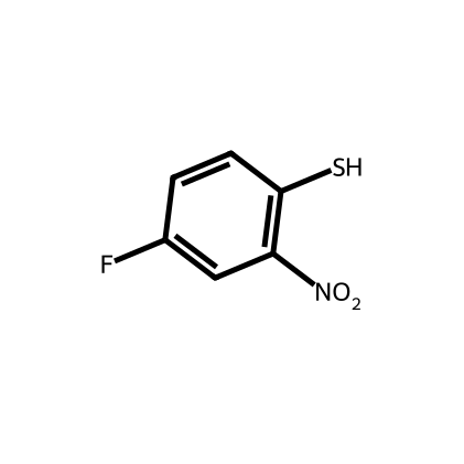 O=[N+]([O-])c1cc(F)ccc1S